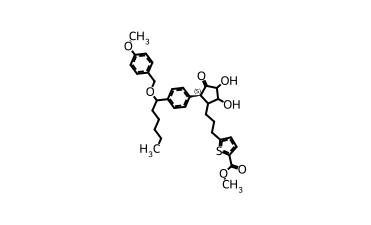 CCCCCC(OCc1ccc(OC)cc1)c1ccc([C@H]2C(=O)C(O)C(O)C2CCCc2ccc(C(=O)OC)s2)cc1